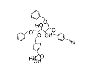 N#Cc1ccc(CO[C@H](COCc2ccccc2)[C@@H](O)[C@H](O)[C@@H](COCc2ccccc2)OCc2ccc(C(=O)NO)cc2)cc1